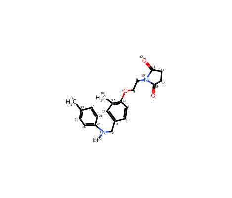 CCN(Cc1ccc(OCCN2C(=O)CCC2=O)c(C)c1)c1ccc(C)cc1